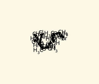 CC(C)(CCOC(C)(C)CC(=O)N[C@@H](CCC(=O)NC(C)(C)CCOC(C)(C)CC(=O)N[C@@H](CCC(=O)O)C(=O)N(CCNC(=O)CCl)CCNC(=O)CCl)C(=O)O)NC(=O)CBr